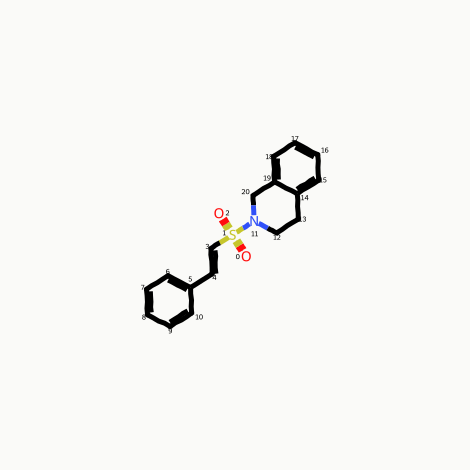 O=S(=O)(C=Cc1ccccc1)N1CCc2ccccc2C1